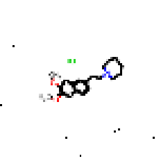 COc1cc2ccc(CCN3CCCCCC3)cc2cc1OC.Cl